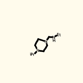 CCN[CH]N1CCN(C(C)C)CC1